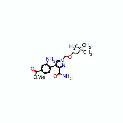 COC(=O)c1ccc(-c2cn(COCC[Si](C)(C)C)nc2C(N)=O)c(N)c1